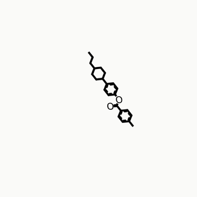 CCCC1CCC(c2ccc(OC(=O)c3ccc(C)cc3)cc2)CC1